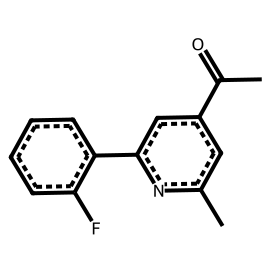 CC(=O)c1cc(C)nc(-c2ccccc2F)c1